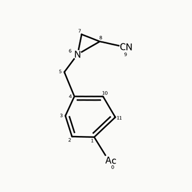 CC(=O)c1ccc(CN2CC2C#N)cc1